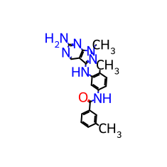 Cc1cccc(C(=O)Nc2ccc(C)c(Nc3nn(C)c4nc(N)ncc34)c2)c1